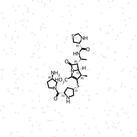 CC(NC(=O)[C@@H]1CSCN1)[C@H]1C(=O)N2C(C(=O)O)=C(S[C@@H]3CN[C@H](C(=O)N4CC[C@@H](N)C4)C3)[C@H](C)[C@H]12